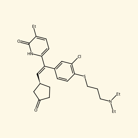 CCc1ccc(C(=C[C@H]2CCC(=O)C2)c2ccc(SCCCN(CC)CC)c(Cl)c2)[nH]c1=O